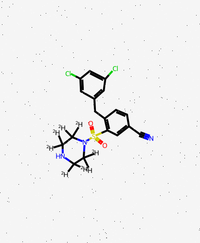 [2H]C1([2H])NC([2H])([2H])C([2H])([2H])N(S(=O)(=O)c2cc(C#N)ccc2Cc2cc(Cl)cc(Cl)c2)C1([2H])[2H]